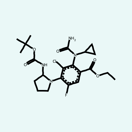 CCOC(=O)c1cc(F)c(N2CCCC2NC(=O)OC(C)(C)C)c(Cl)c1N(C(N)=O)C1CC1